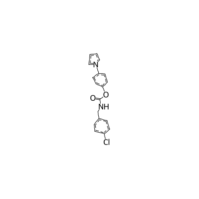 O=C(NCc1ccc(Cl)cc1)Oc1ccc(-n2cccc2)cc1